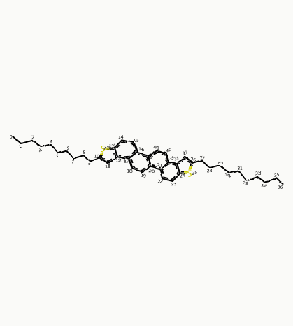 CCCCCCCCCCc1cc2c(ccc3c2ccc2c4ccc5sc(CCCCCCCCCC)cc5c4ccc32)s1